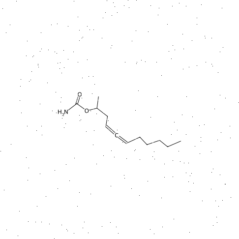 CCCCCC=C=CCC(C)OC(N)=O